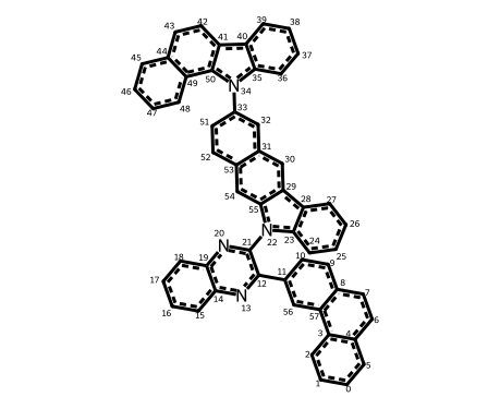 c1ccc2c(c1)ccc1ccc(-c3nc4ccccc4nc3-n3c4ccccc4c4cc5cc(-n6c7ccccc7c7ccc8ccccc8c76)ccc5cc43)cc12